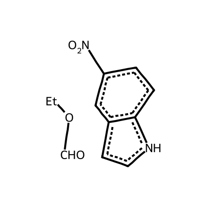 CCOC=O.O=[N+]([O-])c1ccc2[nH]ccc2c1